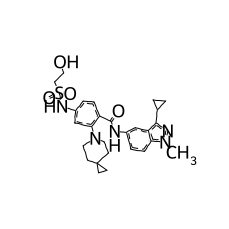 Cn1nc(C2CC2)c2cc(NC(=O)c3ccc(NS(=O)(=O)CCO)cc3N3CCC4(CC3)CC4)ccc21